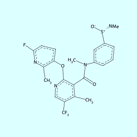 CN[S@@+]([O-])c1cccc(N(C)C(=O)c2c(Oc3ccc(F)nc3C)ncc(C(F)(F)F)c2C)c1